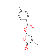 CC1=C[C@H](OC(=O)c2ccc(C)cc2)OC1=O